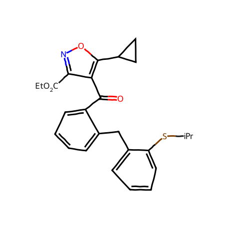 CCOC(=O)c1noc(C2CC2)c1C(=O)c1ccccc1Cc1ccccc1SC(C)C